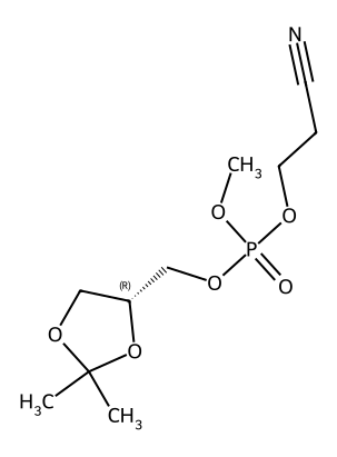 COP(=O)(OCCC#N)OC[C@H]1COC(C)(C)O1